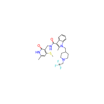 CSc1cc(C)[nH]c(=O)c1CNC(=O)c1c(C)n(CC2CCN(CC(F)(F)F)CC2)c2ccccc12